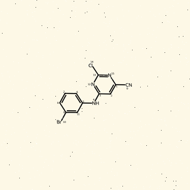 N#Cc1cc(Nc2cccc(Br)c2)nc(Cl)n1